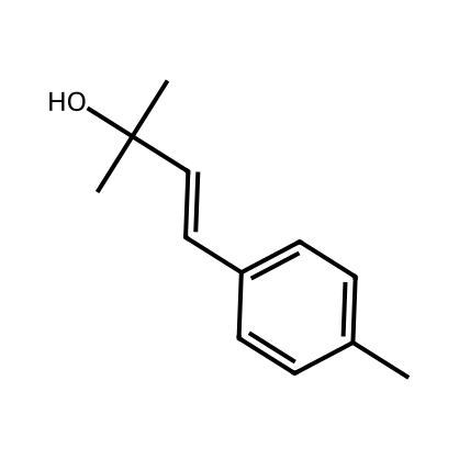 Cc1ccc(C=CC(C)(C)O)cc1